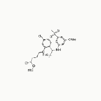 CCOC(=O)C(Nc1cc(OC)cc(S(C)(=O)=O)c1)c1ccc(Cl)cc1OCCCC(=O)OC(C)(C)C